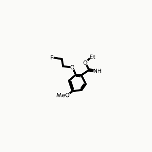 CCOC(=N)c1ccc(OC)cc1OCCF